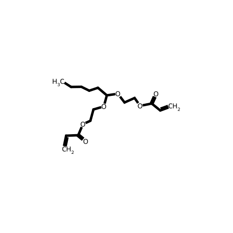 C=CC(=O)OCCOC(CCCCC)OCCOC(=O)C=C